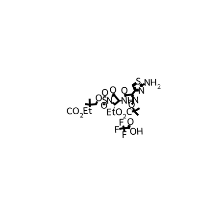 CCOC(=O)C(C)(C)COS(=O)(=O)N1C(=O)[C@@H](NC(=O)/C(=N\OC(C)(C)C(=O)OCC)c2csc(N)n2)[C@@H]1C.O=C(O)C(F)(F)F